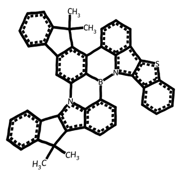 CC1(C)c2ccccc2-c2cc3c4c(c21)-c1cccc2c5sc6ccccc6c5n(c12)B4c1cccc2c4c(n-3c12)-c1ccccc1C4(C)C